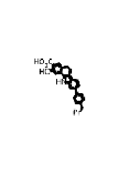 CC(C)Cc1ccc(-c2ccc3c4c([nH]c3c2)-c2cc(O)c(C(=O)O)cc2CC4)cc1